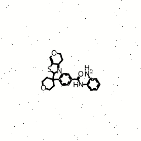 Nc1ccccc1NC(=O)c1ccc(C2(C3N=C4CCOC=C4S3)CCOCC2)cc1